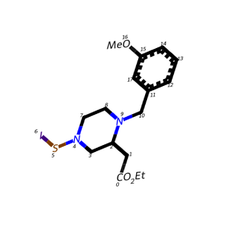 CCOC(=O)CC1CN(SI)CCN1Cc1cccc(OC)c1